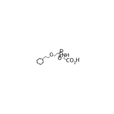 O=C(O)CNS(=O)(=O)CCOCCc1ccccc1